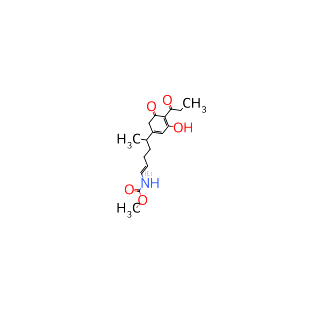 CCC(=O)C1=C(O)C=C(C(C)CC/C=C/NC(=O)OC)CC1=O